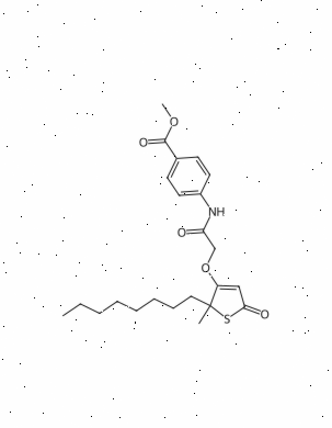 CCCCCCCCC1(C)SC(=O)C=C1OCC(=O)Nc1ccc(C(=O)OC)cc1